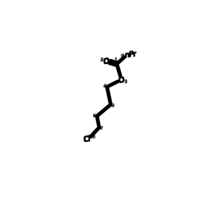 CCCC(=O)OCCCCCl